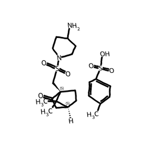 CC1(C)[C@H]2CC[C@@]1(CS(=O)(=O)N1CCC(N)CC1)C(=O)C2.Cc1ccc(S(=O)(=O)O)cc1